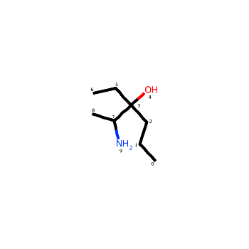 CCCC(O)(CC)C(C)N